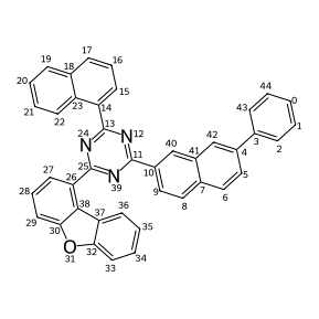 c1ccc(-c2ccc3ccc(-c4nc(-c5cccc6ccccc56)nc(-c5cccc6oc7ccccc7c56)n4)cc3c2)cc1